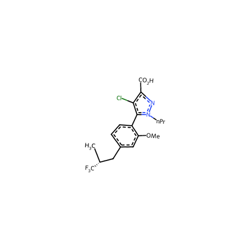 CCCn1nc(C(=O)O)c(Cl)c1-c1ccc(C[C@@H](C)C(F)(F)F)cc1OC